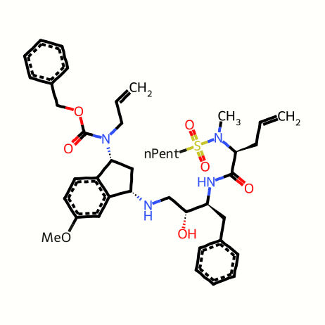 C=CC[C@@H](C(=O)N[C@@H](Cc1ccccc1)[C@H](O)CN[C@H]1C[C@@H](N(CC=C)C(=O)OCc2ccccc2)c2ccc(OC)cc21)N(C)S(=O)(=O)CCCCC